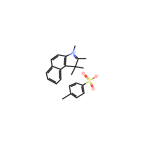 CC1=[N+](C)c2ccc3ccccc3c2C1(C)C.Cc1ccc(S(=O)(=O)[O-])cc1